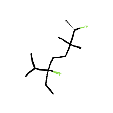 CC[C@@](F)(CCC(C)(C)[C@H](C)F)C(C)C